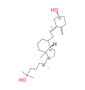 C=C1CC[C@H](O)C/C1=C/CC1CCCC2(C)[C@@H]([C@H](C)CCCC(C)(C)O)CC[C@@H]12